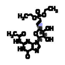 CCOP(=O)(/C=C/[C@H]1O[C@@H](n2cnc3c(=O)[nH]c(NC(C)=O)nc32)[C@H](O)[C@@H]1O)OCC